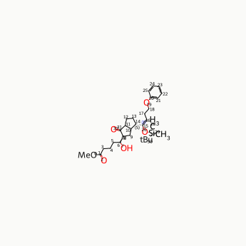 COC(=O)CCCC(O)[C@@H]1CC2C(CC[C@@H]2/C(=C\CCOc2ccccc2)O[Si](C)(C)C(C)(C)C)C1=O